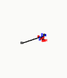 CCC=CCC=CCC=CCC=CCC=CCC=CCCC(=O)NCC(NC(=O)c1cccnc1)C(=O)OC(CO)CO